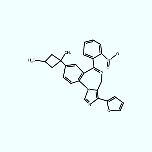 CC1CC(C)(c2ccc3c(c2)C(c2ccccc2[N+](=O)[O-])=NCc2c(-c4ccco4)ncn2-3)C1